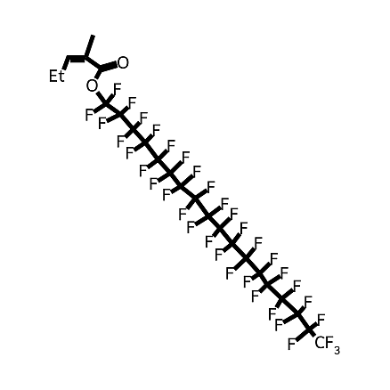 CCC=C(C)C(=O)OC(F)(F)C(F)(F)C(F)(F)C(F)(F)C(F)(F)C(F)(F)C(F)(F)C(F)(F)C(F)(F)C(F)(F)C(F)(F)C(F)(F)C(F)(F)C(F)(F)C(F)(F)C(F)(F)C(F)(F)C(F)(F)F